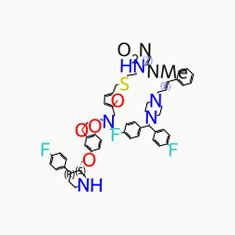 CN/C(=C/[N+](=O)[O-])NCCSCc1ccc(CN(C)C)o1.Fc1ccc(C(c2ccc(F)cc2)N2CCN(C/C=C/c3ccccc3)CC2)cc1.Fc1ccc([C@@H]2CCNC[C@H]2COc2ccc3c(c2)OCO3)cc1